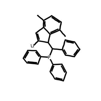 [Li][C]1=Cc2c(C)ccc(C)c2C1C(c1ccccc1)P(c1ccccc1)c1ccccc1